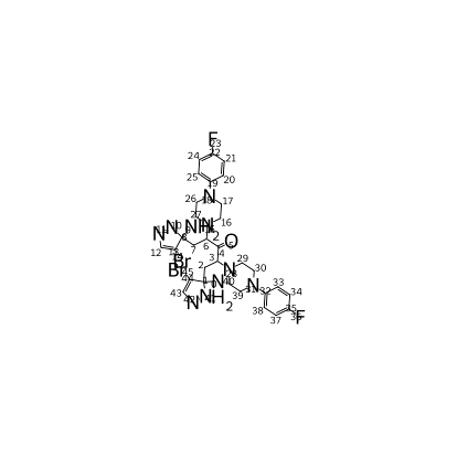 NC1(CC(C(=O)C(CC2(N)N=NC=C2Br)N2CCN(c3ccc(F)cc3)CC2)N2CCN(c3ccc(F)cc3)CC2)N=NC=C1Br